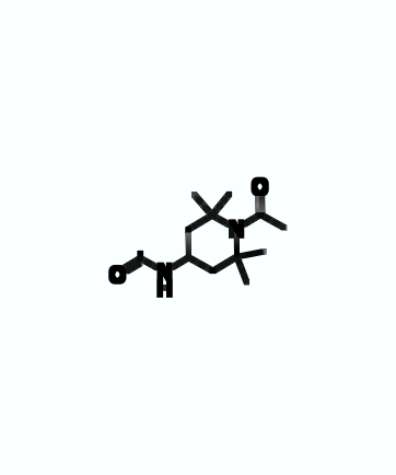 CC(=O)N1C(C)(C)CC(N[C]=O)CC1(C)C